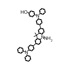 CC1(C)c2cc(-c3ccc(N(c4ccccc4)c4ccccc4)cc3)ccc2N(N)c2ccc(-c3ccc(N(c4ccccc4)c4ccc(O)cc4)cc3)cc21